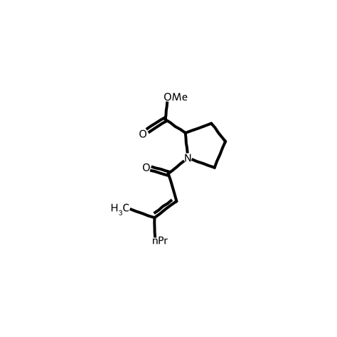 CCC/C(C)=C/C(=O)N1CCCC1C(=O)OC